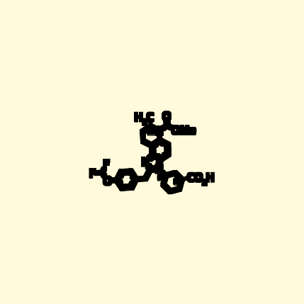 COC(=O)N1c2ccc3c(nc(Cc4ccc(OC(F)F)cc4)n3[C@@H]3CCC[C@@H](C(=O)O)C3)c2CC[C@@H]1C